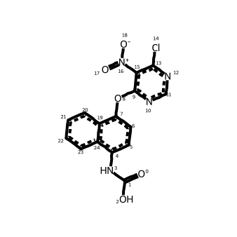 O=C(O)Nc1ccc(Oc2ncnc(Cl)c2[N+](=O)[O-])c2ccccc12